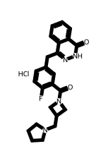 Cl.O=C(c1cc(Cc2n[nH]c(=O)c3ccccc23)ccc1F)N1CC(CN2CCCC2)C1